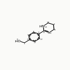 OCc1ccc(C2=NCCCN2)cc1